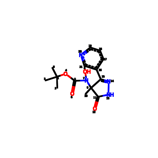 CC(C)(C)OC(=O)N(O)C1(C)C(=O)NN=C1c1cccnc1